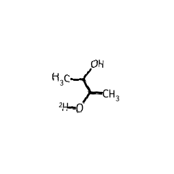 [2H]OC(C)C(C)O